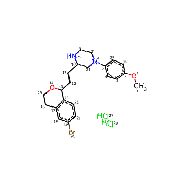 COc1ccc(N2CCNC(CCC3OCCc4cc(Br)ccc43)C2)cc1.Cl.Cl